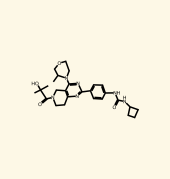 CC1COCCN1c1nc(-c2ccc(NC(=O)NC3CCC3)cc2)nc2c1CN(C(=O)C(C)(C)O)CC2